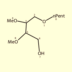 CCCCCOCC(OC)C(CO)OC